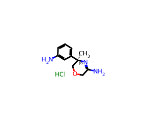 C[C@@]1(c2cccc(N)c2)COCC(N)=N1.Cl